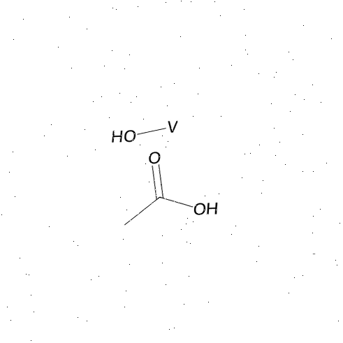 CC(=O)O.[OH][V]